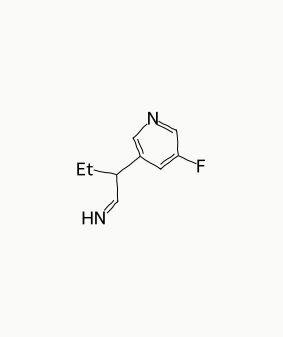 CCC(C=N)c1cncc(F)c1